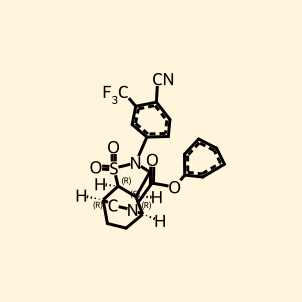 N#Cc1ccc(N2C[C@@H]3[C@@H]([C@@H]4CC[C@H]3N(C(=O)Oc3ccccc3)C4)S2(=O)=O)cc1C(F)(F)F